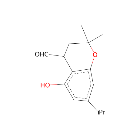 CC(C)c1cc(O)c2c(c1)OC(C)(C)CC2C=O